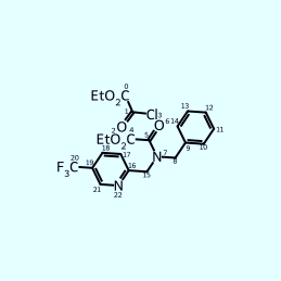 CCOC(=O)C(=O)Cl.CCOC(=O)C(=O)N(Cc1ccccc1)Cc1ccc(C(F)(F)F)cn1